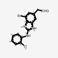 CCc1cc(CC=O)cc2[nH]c(Nc3ccccc3Cl)nc12